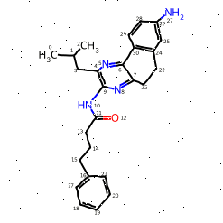 CC(C)Cc1nc2c(nc1NC(=O)CCCc1ccccc1)CCc1cc(N)ccc1-2